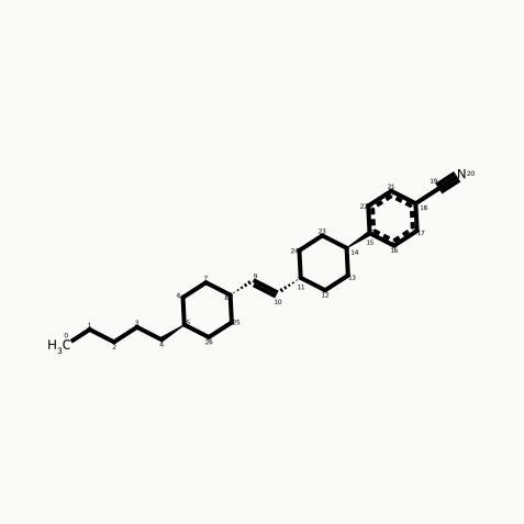 CCCCC[C@H]1CC[C@H](C=C[C@H]2CC[C@H](c3ccc(C#N)cc3)CC2)CC1